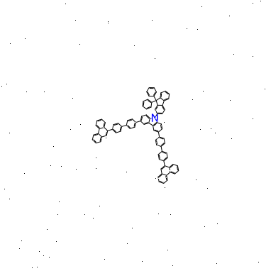 c1ccc(C2(c3ccccc3)c3ccccc3-c3ccc(-n4c5ccc(-c6ccc(-c7ccc(-c8cc9ccccc9c9ccccc89)cc7)cc6)cc5c5cc(-c6ccc(-c7ccc(-c8cc9ccccc9c9ccccc89)cc7)cc6)ccc54)cc32)cc1